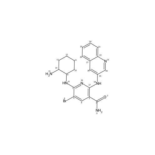 NC(=O)c1cc(Br)c(NC2CCCCC2N)nc1Nc1cnc2ccccc2c1